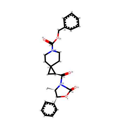 C[C@H]1[C@@H](c2ccccc2)OC(=O)N1C(=O)[C@H]1CC12CCN(C(=O)OCc1ccccc1)CC2